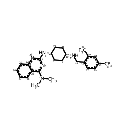 CN(C)c1nc(N[C@H]2CC[C@@H](NCc3ccc(C(F)(F)F)cc3C(F)(F)F)CC2)nc2ccccc12